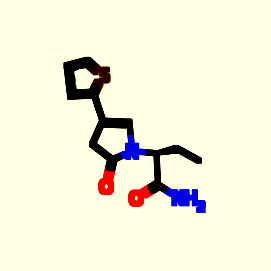 CC[C@@H](C(N)=O)N1C=C(c2cccs2)CC1=O